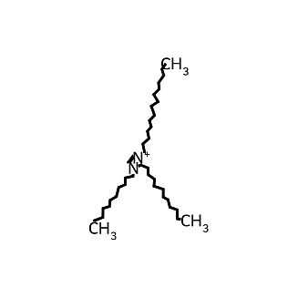 CCCCCCCCCCCCCCC[n+]1ccn(CCCCCCCCCCC)c1CCCCCCCCCCC